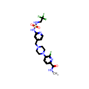 CNC(=O)c1ccc(N2CCN(Cc3ccnc(NS(=O)(=O)NCC(F)(F)F)c3)CC2)c(F)n1